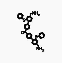 NCc1ccc(-c2ccc(C(=O)c3ccc(-c4ccc(CN)cc4Sc4ccccc4)cc3)cc2)c(Sc2ccccc2)c1